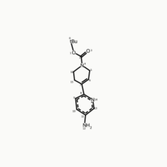 CC(C)(C)OC(=O)N1CC=C(c2ccc(N)cn2)CC1